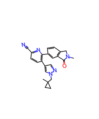 CN1Cc2ccc(-c3nc(C#N)ccc3-c3cnn(CC4(C)CC4)c3)cc2C1=O